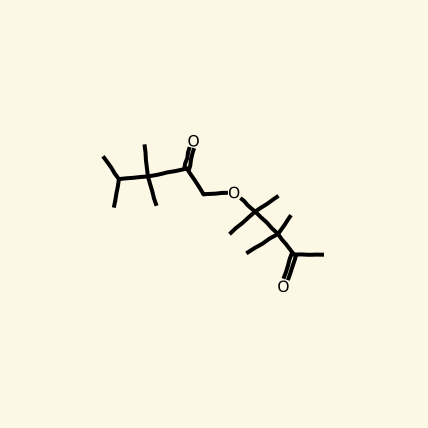 CC(=O)C(C)(C)C(C)(C)OCC(=O)C(C)(C)C(C)C